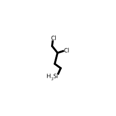 [SiH3]CCC(Cl)CCl